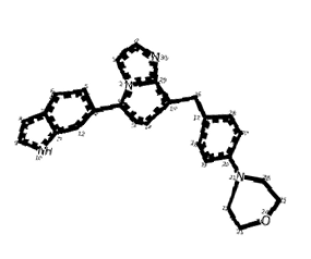 c1cn2c(-c3ccc4cc[nH]c4c3)ccc(Cc3ccc(N4CCOCC4)cc3)c2n1